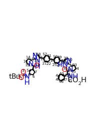 CC(C)(C)OC(=O)NC1CCC(C(=O)N2CCC[C@H]2c2ncc(-c3ccc(-c4ccc(-c5cnc([C@@H]6CCCN6C(=O)[C@H](NC(=O)O)c6ccccc6)[nH]5)cc4)cc3)[nH]2)C1